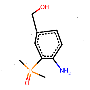 CP(C)(=O)c1cc(CO)ccc1N